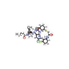 C=CC(=O)N1CCN(c2nc(=O)n3c4nc(c(Cl)cc24)-c2c(F)cccc2NC(=O)CSc2cccc(C(C)C)c2-3)[C@@H]2[C@H](C)[C@@H]21